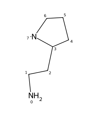 NCCC1CCC[N]1